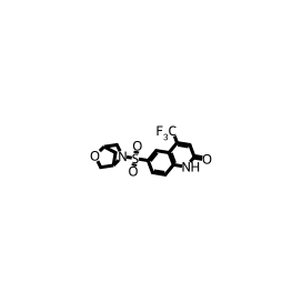 O=c1cc(C(F)(F)F)c2cc(S(=O)(=O)N3CC4CC3CO4)ccc2[nH]1